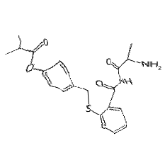 CC(C)C(=O)Oc1ccc(CSc2ccccc2C(=O)NC(=O)C(C)N)cc1